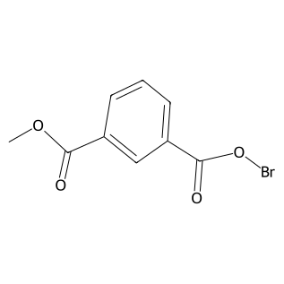 COC(=O)c1cccc(C(=O)OBr)c1